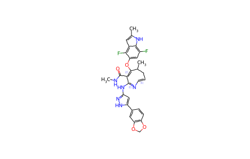 CNC(=O)C1=C(\Oc2cc(F)c3[nH]c(C)cc3c2F)C(C)C/C=C/N=C\1Nc1cc(-c2ccc3c(c2)OCO3)[nH]n1